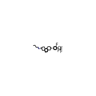 CCC/C=C/[C@H]1CCc2c(ccc3c2CC[C@H](c2ccc(OC(F)(F)F)c(F)c2)C3)C1